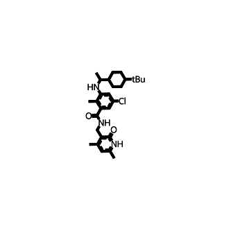 Cc1cc(C)c(CNC(=O)c2cc(Cl)cc(NC(C)C3CCC(C(C)(C)C)CC3)c2C)c(=O)[nH]1